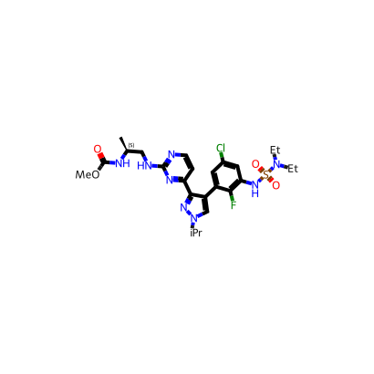 CCN(CC)S(=O)(=O)Nc1cc(Cl)cc(-c2cn(C(C)C)nc2-c2ccnc(NC[C@H](C)NC(=O)OC)n2)c1F